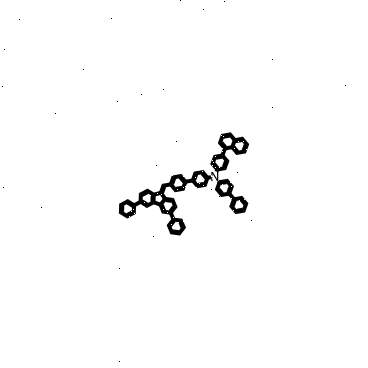 C(=C1c2ccc(-c3ccccc3)cc2-c2cc(-c3ccccc3)ccc21)c1ccc(-c2ccc(N(c3ccc(-c4ccccc4)cc3)c3ccc(-c4cccc5ccccc45)cc3)cc2)cc1